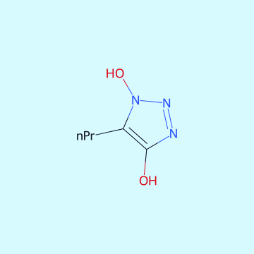 CCCc1c(O)nnn1O